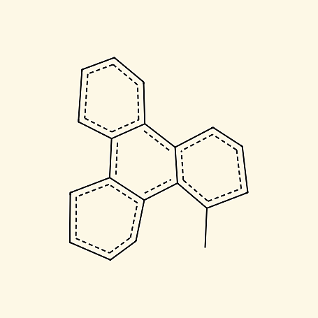 Cc1cccc2c3ccccc3c3ccccc3c12